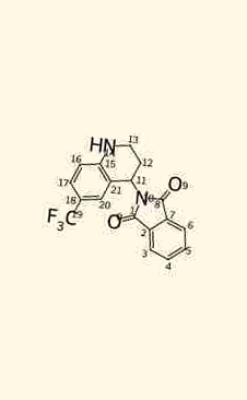 O=C1c2ccccc2C(=O)N1C1CCNc2ccc(C(F)(F)F)cc21